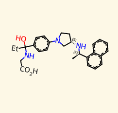 CCC(O)(NCC(=O)O)c1ccc(N2CC[C@H](N[C@H](C)c3cccc4ccccc34)C2)cc1